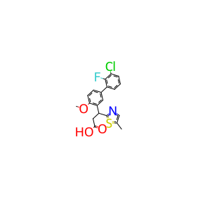 COc1ccc(-c2cccc(Cl)c2F)cc1C(CC(=O)O)c1ncc(C)s1